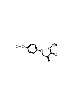 C=C(COc1ccc(C=O)cc1)C(=O)OC(C)(C)C